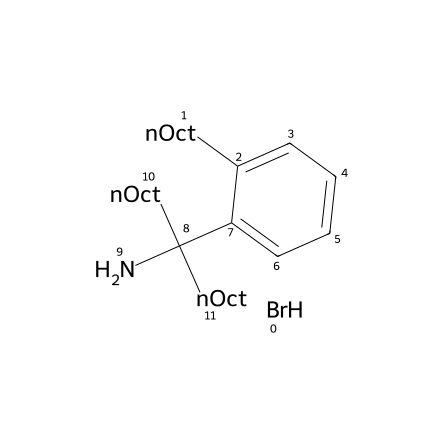 Br.CCCCCCCCc1ccccc1C(N)(CCCCCCCC)CCCCCCCC